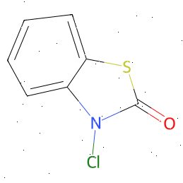 O=c1sc2ccccc2n1Cl